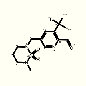 CN1CCCN(Cc2cnc(C=O)c(C(F)(F)F)c2)S1(=O)=O